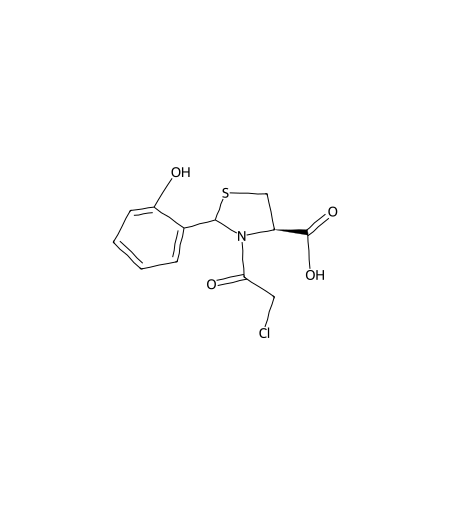 O=C(O)[C@@H]1CSC(c2ccccc2O)N1C(=O)CCl